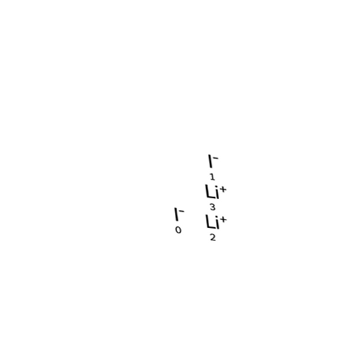 [I-].[I-].[Li+].[Li+]